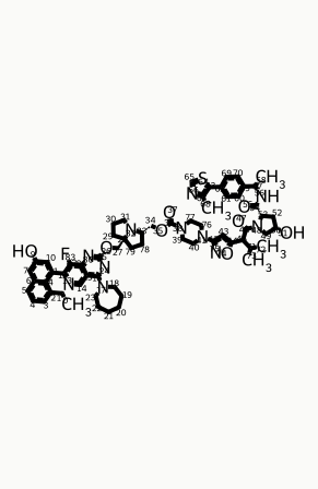 CCc1cccc2cc(O)cc(-c3ncc4c(N5CCCCCC5)nc(OC[C@@]56CCCN5[C@H](COC(=O)N5CCN(c7cc(C(C(=O)N8C[C@H](O)C[C@H]8C(=O)NC(C)c8ccc(-c9scnc9C)cc8)C(C)C)on7)CC5)CC6)nc4c3F)c12